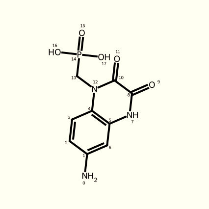 Nc1ccc2c(c1)[nH]c(=O)c(=O)n2CP(=O)(O)O